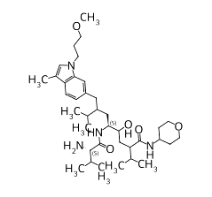 COCCCn1cc(C)c2ccc(CC(C[C@H](NC(=O)[C@@H](N)C(C)C)C(O)CC(C(=O)NC3CCOCC3)C(C)C)C(C)C)cc21